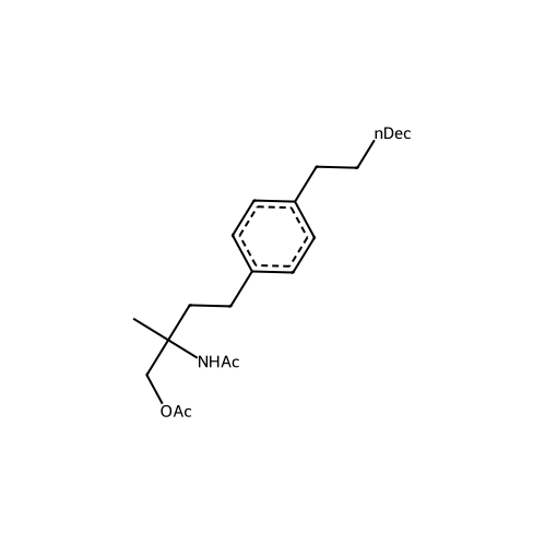 CCCCCCCCCCCCc1ccc(CCC(C)(COC(C)=O)NC(C)=O)cc1